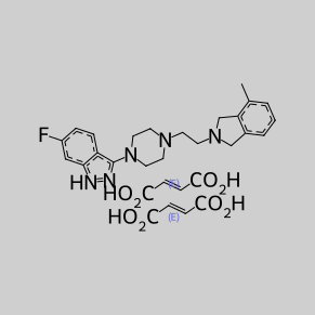 Cc1cccc2c1CN(CCN1CCN(c3n[nH]c4cc(F)ccc34)CC1)C2.O=C(O)/C=C/C(=O)O.O=C(O)/C=C/C(=O)O